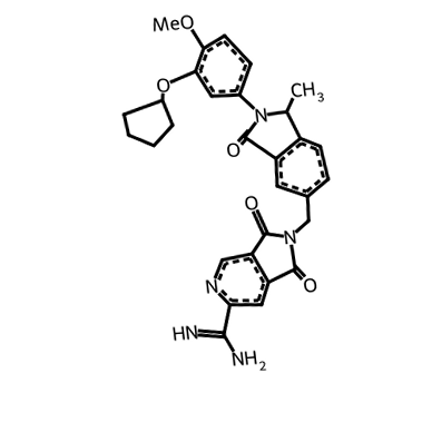 COc1ccc(N2C(=O)c3cc(CN4C(=O)c5cnc(C(=N)N)cc5C4=O)ccc3C2C)cc1OC1CCCC1